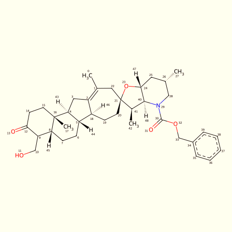 CC1=C2C[C@H]3[C@@H](CC[C@@H]4C(CO)C(=O)CC[C@@]43C)[C@@H]2CC[C@@]2(C1)O[C@@H]1C[C@H](C)CN(C(=O)OCc3ccccc3)[C@H]1[C@H]2C